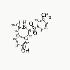 Cc1cccc(S(=O)(=O)C2Cc3cc(O)ccc3CC3(CC3)N2)c1